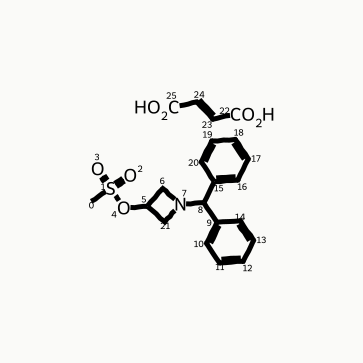 CS(=O)(=O)OC1CN(C(c2ccccc2)c2ccccc2)C1.O=C(O)C=CC(=O)O